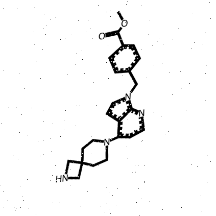 COC(=O)c1ccc(Cn2ccc3c(N4CCC5(CC4)CNC5)ccnc32)cc1